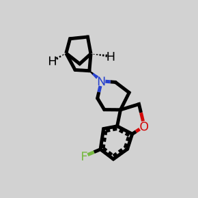 Fc1ccc2c(c1)C1(CCN([C@H]3C[C@H]4CC[C@@H]3C4)CC1)CO2